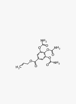 C=CCOC(=O)c1cc(OC(N)=O)c(OC(N)=O)c(OC(N)=O)c1